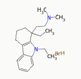 Br.CCn1c2c(c3ccccc31)CCCC2(CC)CCN(C)C